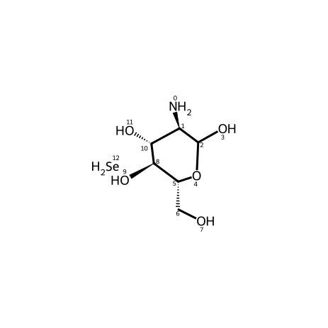 N[C@H]1C(O)O[C@H](CO)[C@@H](O)[C@@H]1O.[SeH2]